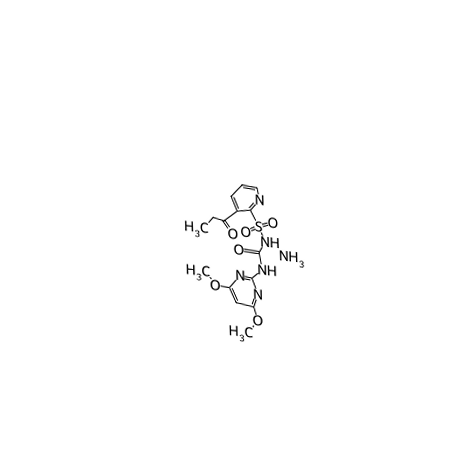 CCC(=O)c1cccnc1S(=O)(=O)NC(=O)Nc1nc(OC)cc(OC)n1.N